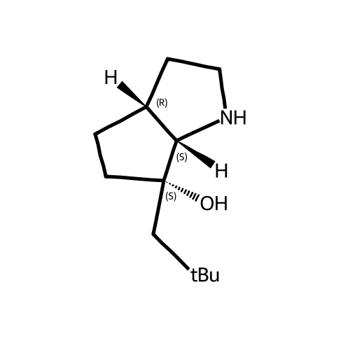 CC(C)(C)C[C@@]1(O)CC[C@@H]2CCN[C@@H]21